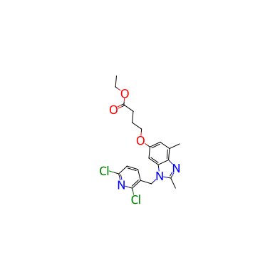 CCOC(=O)CCCOc1cc(C)c2nc(C)n(Cc3ccc(Cl)nc3Cl)c2c1